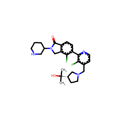 CC(C)(O)[C@H]1CCN(Cc2ccnc(-c3ccc4c(c3F)CN(C3CCCNC3)C4=O)c2F)C1